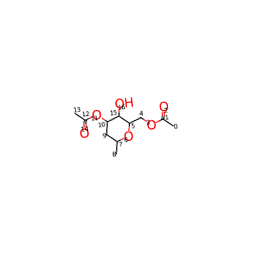 CC(=O)OCC1OC(C)CC(OC(C)=O)C1O